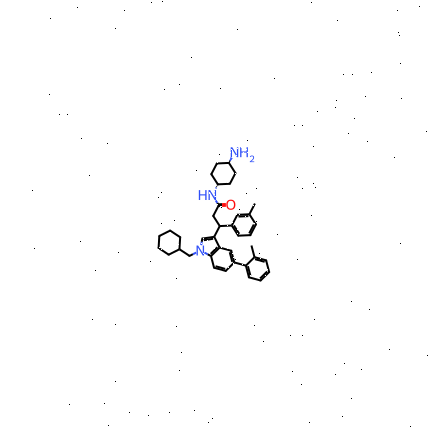 Cc1cccc(C(CC(=O)N[C@H]2CC[C@H](N)CC2)c2cn(CC3CCCCC3)c3ccc(-c4ccccc4C)cc23)c1